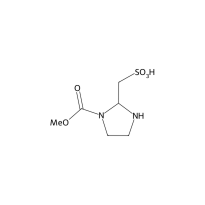 COC(=O)N1CCNC1CS(=O)(=O)O